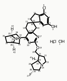 Cl.Cl.Oc1cc(Cl)c2c(c1)[C@@]1(CC2)CCc2c(nc(OCC3CCN4C[C@H](F)C[C@@H]34)nc2N2C[C@H]3CC[C@@H](C2)N3)C1